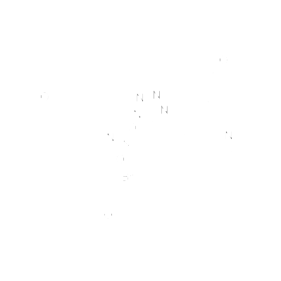 COc1ccc(CN(Cc2ccc(OC)cc2)S(=O)(=O)c2c(Br)ccc(-c3cccc4ncccc34)c2-c2nnnn2Cc2ccc(OC)cc2)cc1